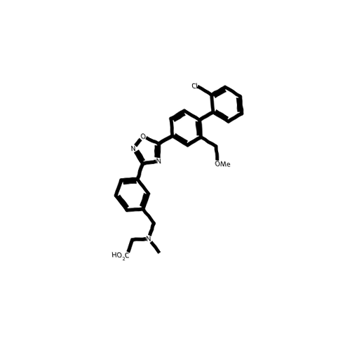 COCc1cc(-c2nc(-c3cccc(CN(C)CC(=O)O)c3)no2)ccc1-c1ccccc1Cl